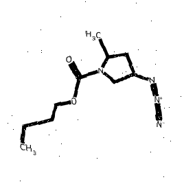 CCCCOC(=O)N1CC(N=[N+]=[N-])CC1C